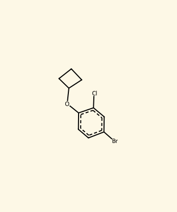 Clc1cc(Br)ccc1OC1CCC1